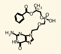 C[C@@H](COP(=O)(O)COCCn1cnc2c(=O)[nH]c(N)nc21)OC(=O)c1ccccc1